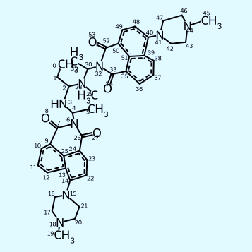 CCC(NC(C)N1C(=O)c2cccc3c(N4CCN(C)CC4)ccc(c23)C1=O)N(C)C(C)N1C(=O)c2cccc3c(N4CCN(C)CC4)ccc(c23)C1=O